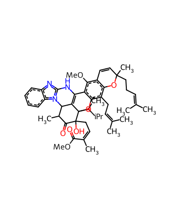 COC(=O)/C(C)=C\CC1(O)C(=O)C(C)C2C3=C(Nc4nc5ccccc5n42)c2c(OC)c4c(c(CC=C(C)C)c2OC31C(C)C(C)C)OC(C)(CCC=C(C)C)C=C4